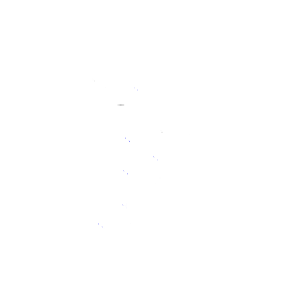 Cc1cn(-c2ccnc(N3CCc4c([nH]c5ccccc45)C3c3ccc4c(c3)CCO4)n2)cn1